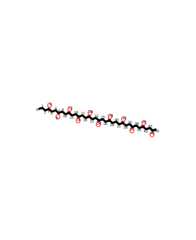 CCCC(=O)CCC(=O)CCC(=O)CCC(=O)CCC(=O)CCC(=O)CCC(=O)CCCC(=O)CCC(=O)CCC(=O)CCC(C)=O